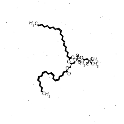 CCCCC/C=C\C/C=C\C/C=C\C/C=C\CCCC(=O)OC[C@H](COP(=O)([O-])OCC[N+](C)(C)C)OC(=O)CCCCCCCCC/C=C\CCCCCCCC